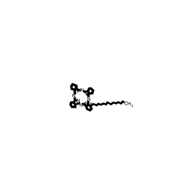 CCCCCCCCCCCCCCc1cccc2c3nc4nc(nc5[nH]c(nc6nc(nc([nH]3)c12)-c1ccccc1-6)c1ccccc51)-c1ccccc1-4